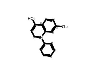 OC1=CCN(c2ccccc2)c2cc(Cl)ccc21